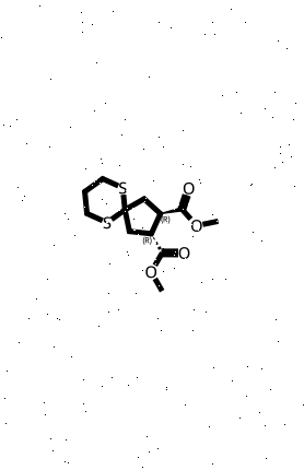 COC(=O)[C@@H]1CC2(C[C@H]1C(=O)OC)SCCCS2